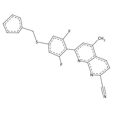 Cc1cc(-c2c(F)cc(SCc3ccccc3)cc2F)nc2nc(C#N)ccc12